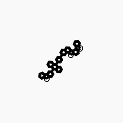 c1ccc2c(c1)oc1ccc(-c3c4ccccc4c(-c4ccc(-c5ccc6ccc7c(oc8ccc9oc%10ccccc%10c9c87)c6c5)cc4)c4ccccc34)cc12